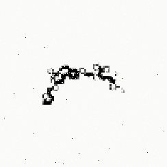 C=C(Cl)/C(=C\C=C/C)OCCOc1ccc2c(c1)CCn1c-2cc(OCC2CCCO2)nc1=O